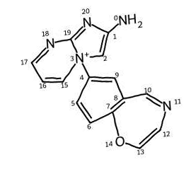 NC1=C[N+]2(c3ccc4c(c3)C=NC=CO4)C=CC=NC2=N1